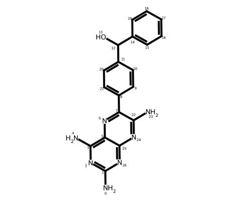 Nc1nc(N)c2nc(-c3ccc(C(O)c4ccccc4)cc3)c(N)nc2n1